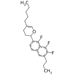 CCCCCC1=COC(c2ccc3cc(CCC)c(F)c(F)c3c2F)CC1